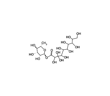 C[C@@H]1O[C@@H](OC(=O)C(O)C(O)(O)C(O)C(O)C(O)C(O)C(O)C(O)CO)[C@H](O)[C@H](O)[C@H]1O